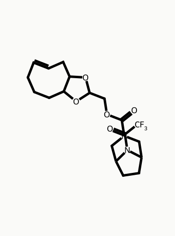 O=C(OCC1OC2C/C=C/CCCC2O1)N1CC2CCC(C1)N2C(=O)C(F)(F)F